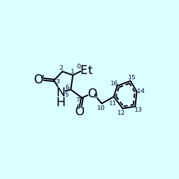 CCC1CC(=O)NC1C(=O)OCc1ccccc1